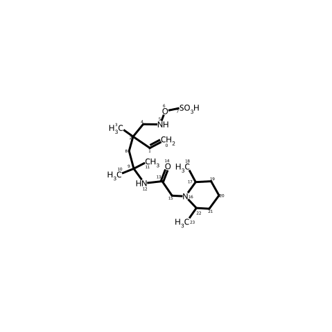 C=CC(C)(CNOS(=O)(=O)O)CC(C)(C)NC(=O)CN1C(C)CCCC1C